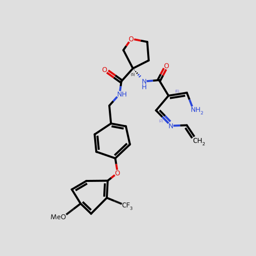 C=C/N=C\C(=C/N)C(=O)N[C@@]1(C(=O)NCc2ccc(Oc3ccc(OC)cc3C(F)(F)F)cc2)CCOC1